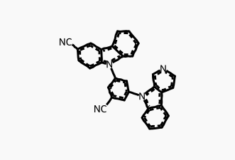 N#Cc1cc(-n2c3ccccc3c3cc(C#N)ccc32)cc(-n2c3ccccc3c3ccncc32)c1